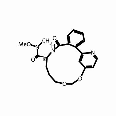 CON(C)C(=O)[C@@H]1CCCCCOc2ccnc(c2)-c2ccccc2C(=O)N1